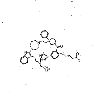 CCOCCn1c(N2CCCN(CCC3(c4ccccc4)CCN(C(=O)c4cc(-n5cnnn5)ccc4OCCCC(=O)[O-])C3)CC2)nc2ccccc21.[Li+]